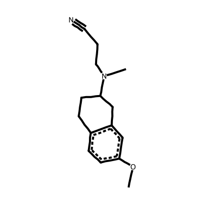 COc1ccc2c(c1)CC(N(C)CCC#N)CC2